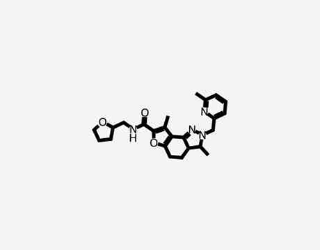 Cc1cccc(CN2N=C3c4c(oc(C(=O)NCC5CCCO5)c4C)CCC3C2C)n1